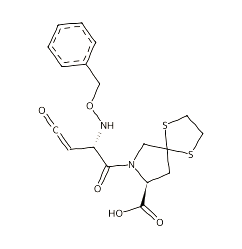 O=C=C[C@H](NOCc1ccccc1)C(=O)N1CC2(C[C@H]1C(=O)O)SCCS2